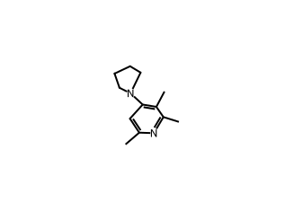 Cc1cc(N2CCCC2)c(C)c(C)n1